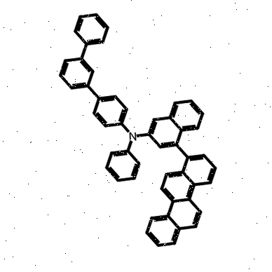 c1ccc(-c2cccc(-c3ccc(N(c4ccccc4)c4cc(-c5cccc6c5ccc5c7ccccc7ccc65)c5ccccc5c4)cc3)c2)cc1